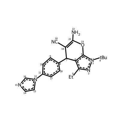 CCc1nn(C(C)(C)C)c2c1C(c1ccc(-n3ccnc3)cc1)C(C#N)=C(N)O2